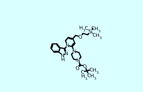 CC(C)(C)OC(=O)N1CCN(C2=CC(COCC[Si](C)(C)C)=CCN2c2n[nH]c3ccccc23)CC1